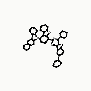 c1ccc(-c2ccc3oc4c(-c5ccccc5)nc(-c5ccc(-n6c7ccccc7c7cc8ccccc8cc76)c6c5oc5ccccc56)nc4c3c2)cc1